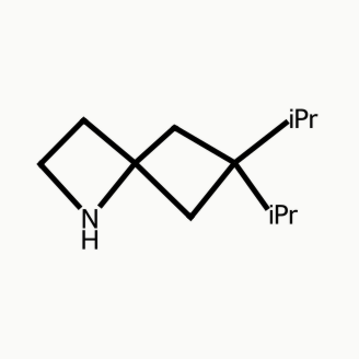 CC(C)C1(C(C)C)CC2(CCN2)C1